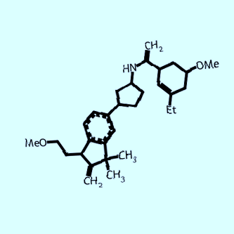 C=C(NC1CCC(c2ccc3c(c2)C(C)(C)C(=C)C3CCOC)C1)C1C=C(CC)CC(OC)C1